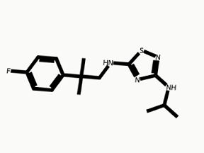 CC(C)Nc1nsc(NCC(C)(C)c2ccc(F)cc2)n1